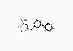 COC(=O)CN(C)Cc1cccc(-c2c[c]cnc2)c1